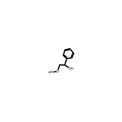 CCCOCC(O)c1ccccc1